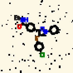 CCNC(=O)c1ccc(-c2nn(-c3ccccc3)cc2Sc2ccc(Cl)cc2)cc1